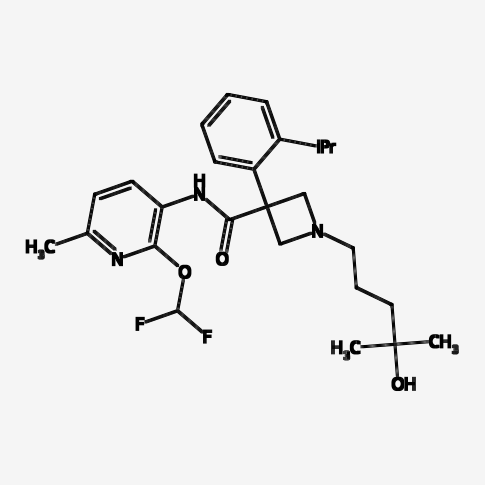 Cc1ccc(NC(=O)C2(c3ccccc3C(C)C)CN(CCCC(C)(C)O)C2)c(OC(F)F)n1